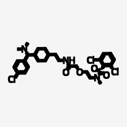 CN(C)C(c1ccc(Cl)cc1)C1CCC(CCNC(=O)COCCN(C)S(=O)(=O)c2c(Cl)cccc2Cl)CC1